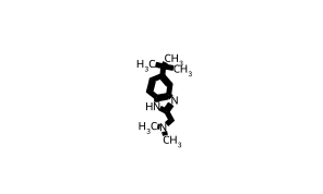 CN(C)Cc1nc2cc(C(C)(C)C)ccc2[nH]1